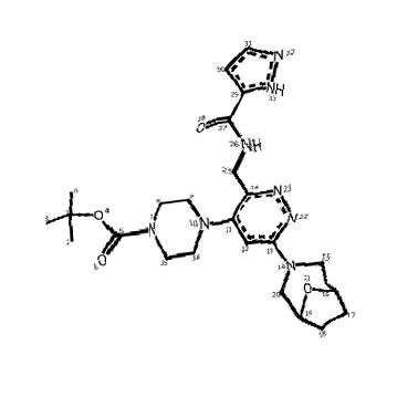 CC(C)(C)OC(=O)N1CCN(c2cc(N3CC4CCC(C3)O4)nnc2CNC(=O)c2ccn[nH]2)CC1